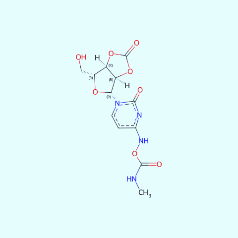 CNC(=O)ONc1ccn([C@@H]2O[C@H](CO)[C@H]3OC(=O)O[C@H]32)c(=O)n1